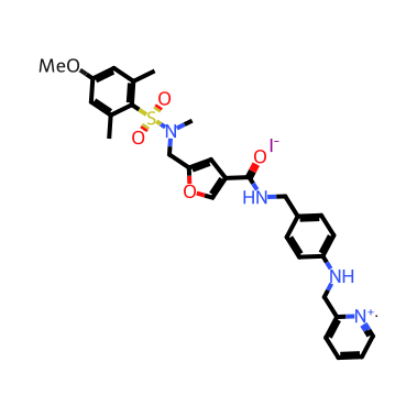 COc1cc(C)c(S(=O)(=O)N(C)Cc2cc(C(=O)NCc3ccc(NCC4=CC=CC=[N+]4)cc3)co2)c(C)c1.[I-]